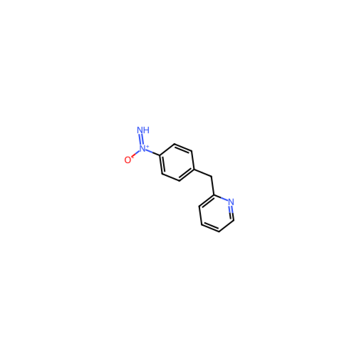 N=[N+]([O-])c1ccc(Cc2ccccn2)cc1